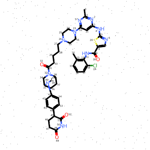 Cc1nc(Nc2ncc(C(=O)Nc3c(C)cccc3Cl)s2)cc(N2CCN(CCCCC(=O)N3CC4CCC3CN4c3ccc(C4CCC(=O)NC4=O)cc3)CC2)n1